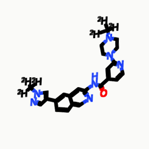 [2H]C([2H])([2H])N1CCN(c2cc(C(=O)Nc3cc4cc(-c5cnn(C([2H])([2H])[2H])c5)ccc4cn3)ccn2)CC1